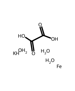 O.O.O.O=C(O)C(=O)O.[Fe].[KH]